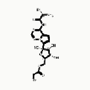 CC(C)CC(=O)OC[C@H]1O[C@@](C#N)(c2ccc3c(NC(=O)[C@@H](N)C(C)C)ncnn23)[C@H](O)[C@@H]1O